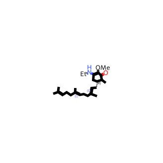 CCNC1=C(OC)C(=O)C(C)[C@H](C/C=C(\C)CC/C=C(\C)CCC=C(C)C)C1